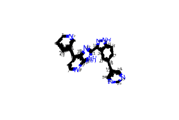 c1cncc(-c2ccnc3[nH]c(-c4n[nH]c5ccc(-c6cncnc6)cc45)nc23)c1